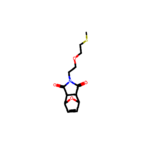 CSCCOCCN1C(=O)C2C3C=CC(O3)C2C1=O